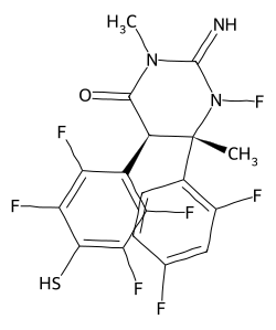 CN1C(=N)N(F)[C@](C)(c2ccc(F)cc2F)[C@@H](c2c(F)c(F)c(S)c(F)c2F)C1=O